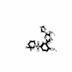 Cc1ccc(S(=O)(=O)N2CCCC(F)(F)C2)cc1-c1cnc(N)c(-n2cncn2)n1